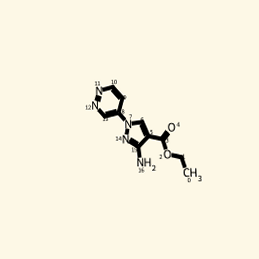 CCOC(=O)c1cn(-c2ccnnc2)nc1N